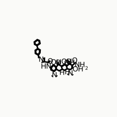 CN(C)c1cc(NC(=O)C2CN(Cc3ccc(-c4ccccc4)cc3)C2)c(O)c2c1C[C@H]1C[C@H]3[C@H](N(C)C)C(O)=C(C(N)=O)C(=O)[C@@]3(O)C(O)=C1C2=O